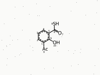 CC(=O)c1cccc(C(=O)S)c1O